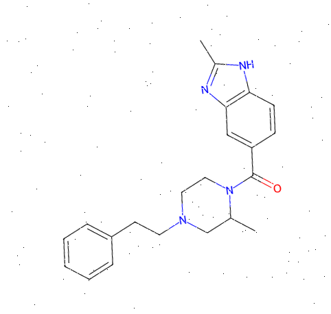 Cc1nc2cc(C(=O)N3CCN(CCc4ccccc4)CC3C)ccc2[nH]1